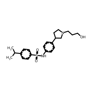 CC(C)c1ccc(S(=O)(=O)Nc2ccc(C3CCN(CCCO)C3)cc2)cc1